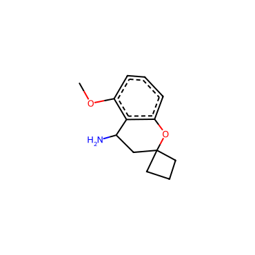 COc1cccc2c1C(N)CC1(CCC1)O2